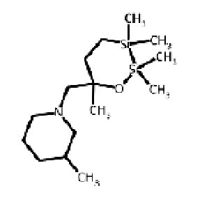 CC1CCCN(CC2(C)CC[Si](C)(C)[Si](C)(C)O2)C1